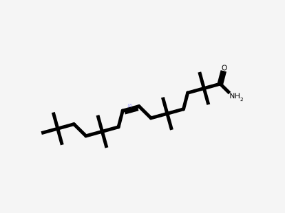 CC(C)(C)CCC(C)(C)C/C=C\CC(C)(C)CCC(C)(C)C(N)=O